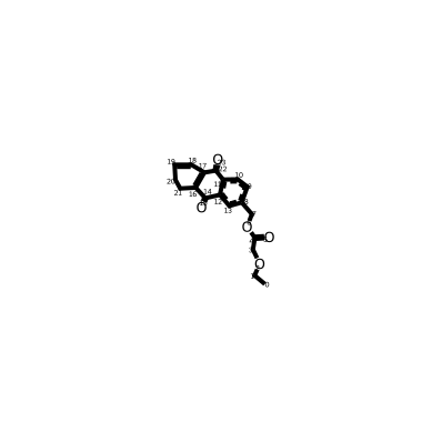 CCOCC(=O)OCc1ccc2c(c1)C(=O)C1=C(C=CCC1)C2=O